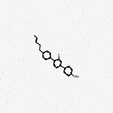 C/C=C/CCc1ccc(-c2ccc(-c3ccc(CCCC)cc3)cc2F)cc1